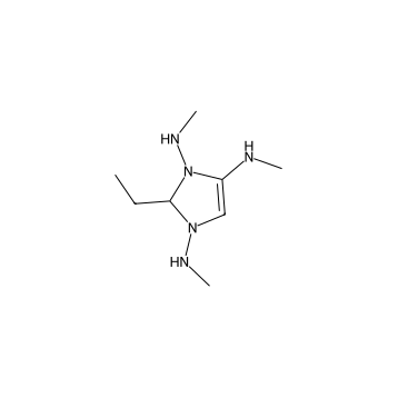 CCC1N(NC)C=C(NC)N1NC